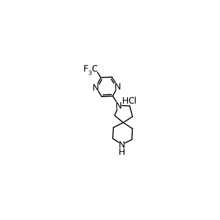 Cl.FC(F)(F)c1cnc(N2CCC3(CCNCC3)C2)cn1